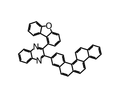 c1ccc2c(c1)ccc1c2ccc2ccc3cc(-c4nc5ccccc5nc4-c4cccc5oc6ccccc6c45)ccc3c21